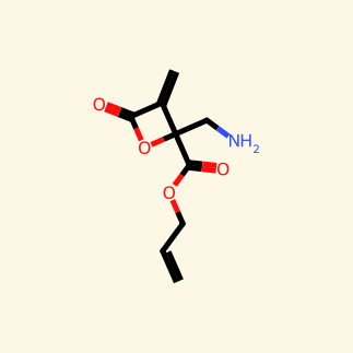 C=CCOC(=O)C1(CN)OC(=O)C1=C